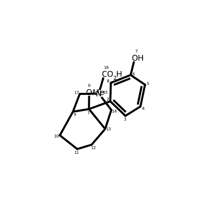 COC1(c2cccc(O)c2)C2CCCC1CN(C(=O)O)C2